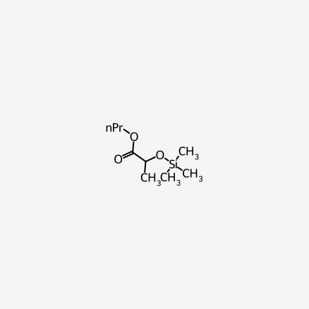 CCCOC(=O)C(C)O[Si](C)(C)C